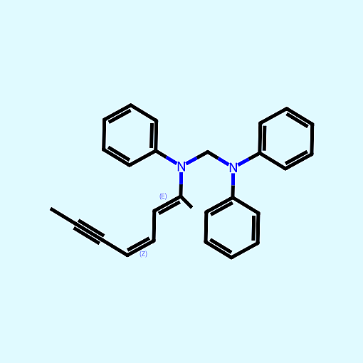 CC#C/C=C\C=C(/C)N(CN(c1ccccc1)c1ccccc1)c1ccccc1